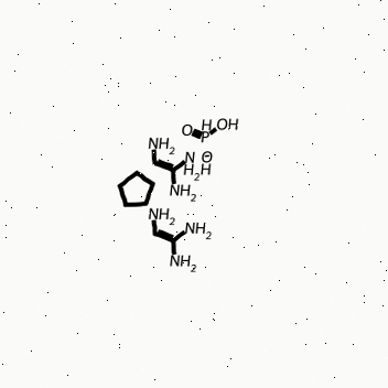 C1CCCC1.NC=C(N)N.NC=C(N)N.O=[PH](O)O